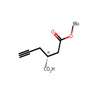 C#CC[C@H](CC(=O)OC(C)(C)C)C(=O)O